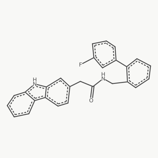 O=C(Cc1ccc2c(c1)[nH]c1ccccc12)NCc1ccccc1-c1cccc(F)c1